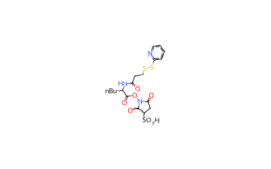 CCCCC(NC(=O)CCSSc1ccccn1)C(=O)ON1C(=O)CC(S(=O)(=O)O)C1=O